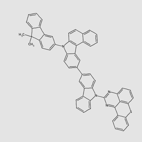 CC1(C)c2ccccc2-c2cc(-n3c4ccc(-c5ccc6c(c5)c5ccccc5n6-c5nc6c7c(cccc7n5)Sc5ccccc5-6)cc4c4c5ccccc5ccc43)ccc21